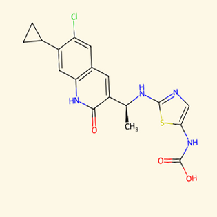 C[C@H](Nc1ncc(NC(=O)O)s1)c1cc2cc(Cl)c(C3CC3)cc2[nH]c1=O